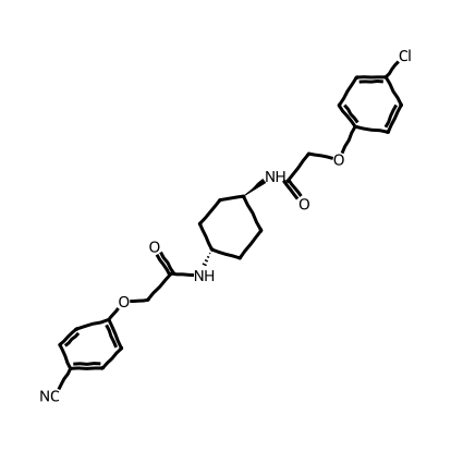 N#Cc1ccc(OCC(=O)N[C@H]2CC[C@H](NC(=O)COc3ccc(Cl)cc3)CC2)cc1